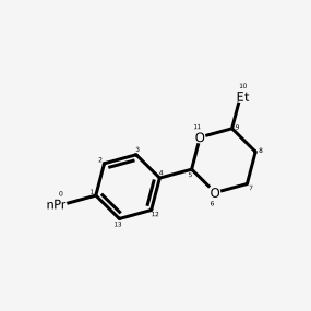 CCCc1ccc(C2OCCC(CC)O2)cc1